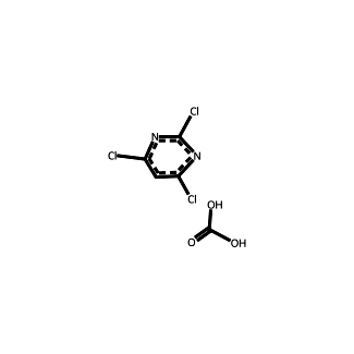 Clc1cc(Cl)nc(Cl)n1.O=C(O)O